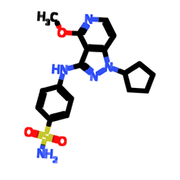 COc1nccc2c1c(Nc1ccc(S(N)(=O)=O)cc1)nn2C1CCCC1